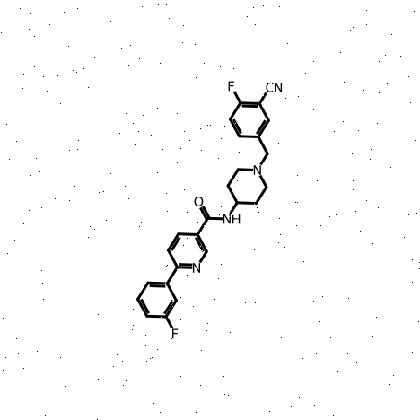 N#Cc1cc(CN2CCC(NC(=O)c3ccc(-c4cccc(F)c4)nc3)CC2)ccc1F